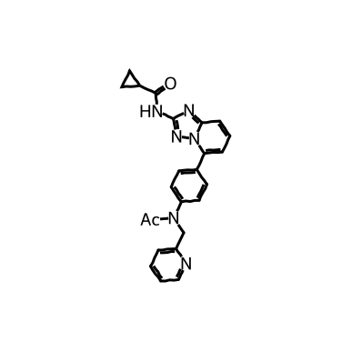 CC(=O)N(Cc1ccccn1)c1ccc(-c2cccc3nc(NC(=O)C4CC4)nn23)cc1